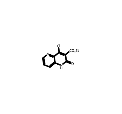 CCOC(=O)c1c(Cl)c2ncccc2[nH]c1=O